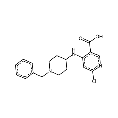 O=C(O)c1cnc(Cl)cc1NC1CCN(Cc2ccccc2)CC1